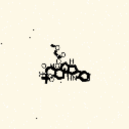 COCC(=O)O[C@H]1C[C@H]2Cc3c([nH]c4ccccc34)[C@]2(C)C2(C)CCC34O[C@@H](C(=O)C=C3[C@]12O)C(C)(C)O4